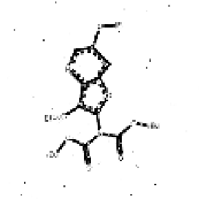 CCOC(=O)c1c(N(C(=O)OC(C)(C)C)C(=O)OC(C)(C)C)oc2cc(OC(C)C)cnc12